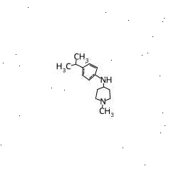 CC(C)c1ccc(NC2CCN(C)CC2)cc1